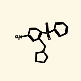 O=[N+]([O-])c1ccc(S(=O)(=O)c2ccccc2)c(CN2CCCC2)c1